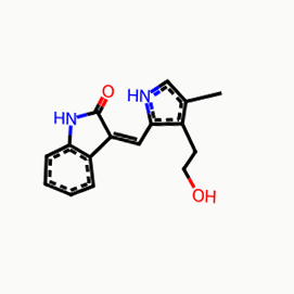 Cc1c[nH]c(/C=C2\C(=O)Nc3ccccc32)c1CCO